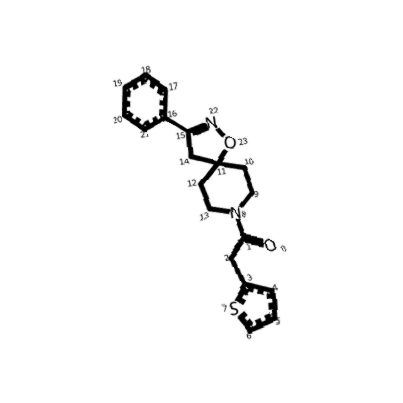 O=C(Cc1cccs1)N1CCC2(CC1)CC(c1ccccc1)=NO2